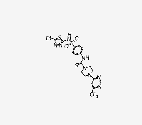 CCc1nnc(NS(=O)(=O)c2ccc(NC(=S)N3CCN(c4cc(C(F)(F)F)ncn4)CC3)cc2)s1